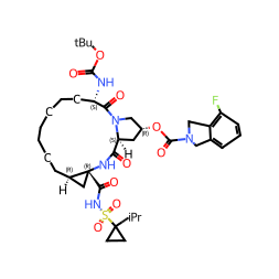 CC(C)C1(S(=O)(=O)NC(=O)[C@@]23C[C@H]2CCCCCCC[C@H](NC(=O)OC(C)(C)C)C(=O)N2C[C@H](OC(=O)N4Cc5cccc(F)c5C4)C[C@H]2C(=O)N3)CC1